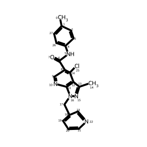 Cc1ccc(NC(=O)c2cnc3c(c(C)nn3Cc3cccnc3)c2Cl)cc1